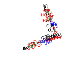 N.N.N.N.N.N.O=[N+]([O-])O.O=[N+]([O-])O.O=[N+]([O-])[O-].O=[N+]([O-])[O-].O=[N+]([O-])[O-].O=[N+]([O-])[O-].O=[N+]([O-])[O-].O=[N+]([O-])[O-].[K+].[K+].[K+].[K+].[K+].[K+].[O-][Cl+3]([O-])([O-])O.[O-][Cl+3]([O-])([O-])O.[O-][Cl+3]([O-])([O-])O.[O-][Cl+3]([O-])([O-])O